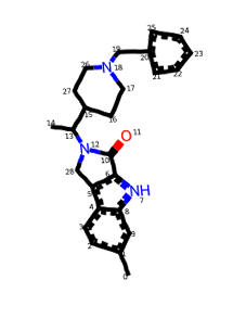 Cc1ccc2c3c([nH]c2c1)C(=O)N(C(C)C1CCN(Cc2ccccc2)CC1)C3